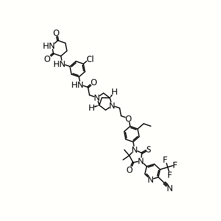 CCc1cc(N2C(=S)N(c3cnc(C#N)c(C(F)(F)F)c3)C(=O)C2(C)C)ccc1OCCN1C[C@H]2C[C@@H]1CN2CC(=O)Nc1cc(Cl)cc(NC2CCC(=O)NC2=O)c1